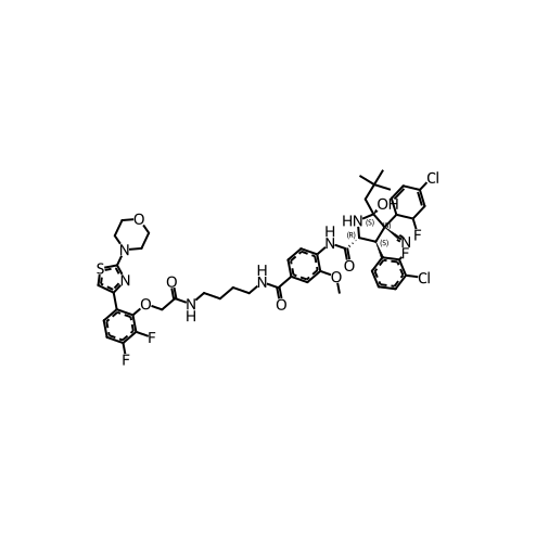 COc1cc(C(=O)NCCCCNC(=O)COc2c(-c3csc(N4CCOCC4)n3)ccc(F)c2F)ccc1NC(=O)[C@@H]1N[C@](O)(CC(C)(C)C)[C@](C#N)(C2C=CC(Cl)=CC2F)[C@H]1c1cccc(Cl)c1F